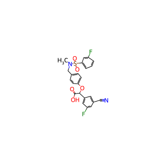 CN(Cc1ccc(OC(C(=O)O)c2cc(F)cc(C#N)c2)cc1)S(=O)(=O)c1cccc(F)c1